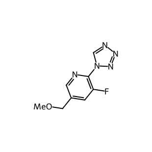 COCc1cnc(-n2cnnn2)c(F)c1